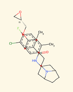 Cc1c(CCN2C3CCC2CC(NC(=O)c2ccc(F)c(Cl)c2)C3)ccc(OC[C@@H]2CO2)c1C